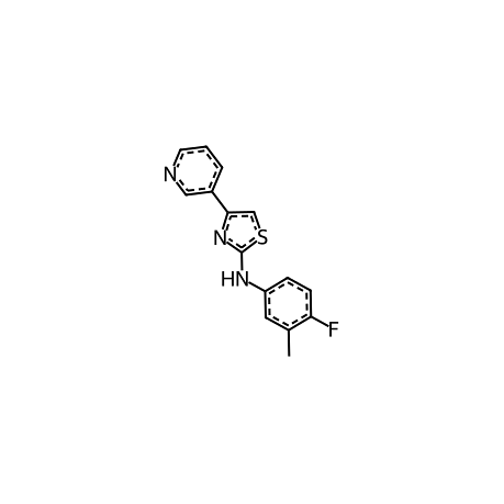 Cc1cc(Nc2nc(-c3cccnc3)cs2)ccc1F